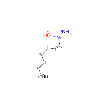 CC(C)(C)CC/C=C\C=C/N(N)O